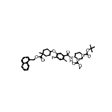 COC(=O)N1CN(C(=O)OC(C)(C)C)CC[C@H]1NC(=O)c1cc(OC2CCC(C)(C(=O)OCc3cccc4ccccc34)CC2)c(F)cc1C